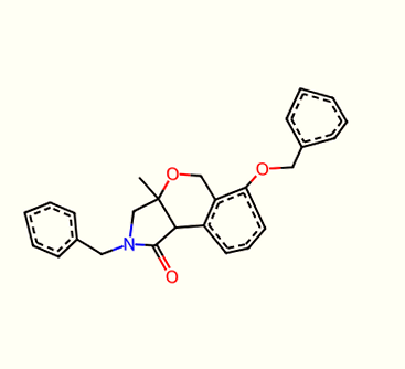 CC12CN(Cc3ccccc3)C(=O)C1c1cccc(OCc3ccccc3)c1CO2